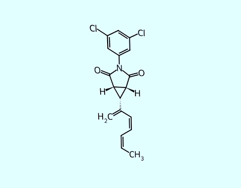 C=C(/C=C\C=C/C)[C@H]1[C@H]2C(=O)N(c3cc(Cl)cc(Cl)c3)C(=O)[C@@H]12